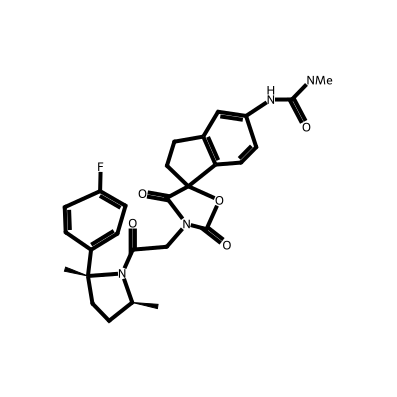 CNC(=O)Nc1ccc2c(c1)CCC21OC(=O)N(CC(=O)N2[C@@H](C)CC[C@]2(C)c2ccc(F)cc2)C1=O